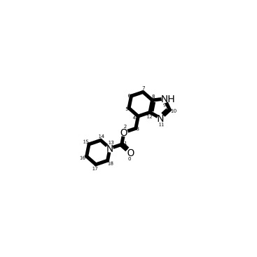 O=C(OCC1CCCc2[nH]cnc21)N1CCCCC1